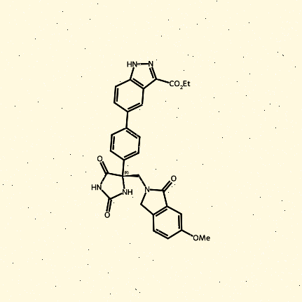 CCOC(=O)c1n[nH]c2ccc(-c3ccc([C@]4(CN5Cc6ccc(OC)cc6C5=O)NC(=O)NC4=O)cc3)cc12